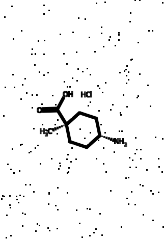 C[C@]1(C(=O)O)CC[C@H](N)CC1.Cl